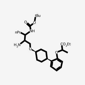 CCCC(NC(=O)OC(C)(C)C)C(N)CO[C@H]1CC[C@@H](c2ccccc2OC(C)C(=O)OCC)CC1